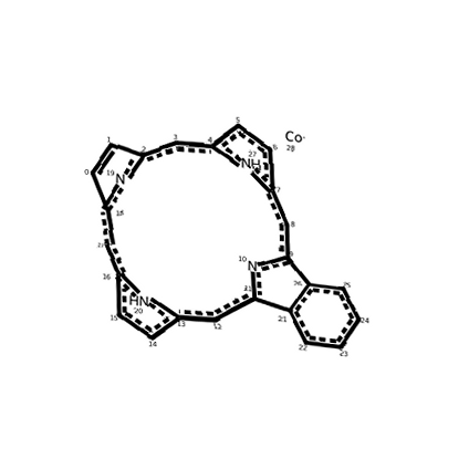 C1=Cc2cc3ccc(cc4nc(cc5ccc(cc1n2)[nH]5)-c1ccccc1-4)[nH]3.[Co]